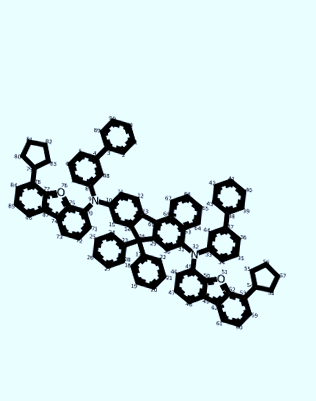 c1ccc(-c2cccc(N(c3ccc4c(c3)C(c3ccccc3)(c3ccccc3)c3cc(N(c5cccc(-c6ccccc6)c5)c5cccc6c5oc5c(C7CCCC7)cccc56)c5ccccc5c3-4)c3cccc4c3oc3c(C5CCCC5)cccc34)c2)cc1